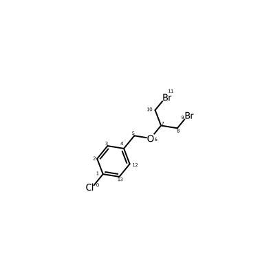 Clc1ccc(COC(CBr)CBr)cc1